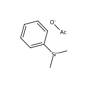 CC(=O)[O-].C[Si+](C)c1ccccc1